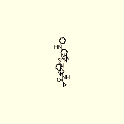 O=C(Nc1cn2nc(Sc3nnc4ccc(Nc5ccccc5)cn34)ccc2n1)C1CC1